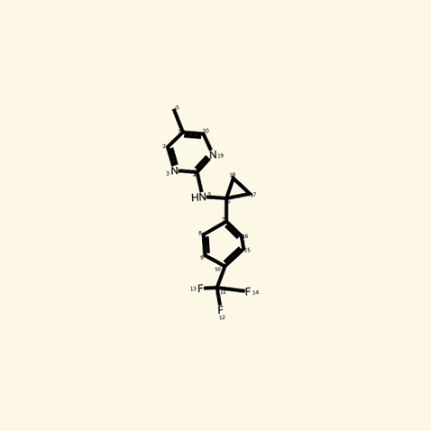 Cc1cnc(NC2(c3ccc(C(F)(F)F)cc3)CC2)nc1